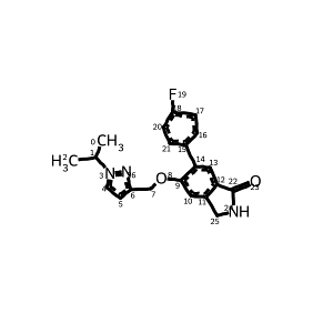 CC(C)n1ccc(COc2cc3c(cc2-c2ccc(F)cc2)C(=O)NC3)n1